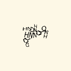 CNC(=O)c1ccc2c(c1)NC1(CCNCC1)C(NCc1cccc(Cl)c1)=N2